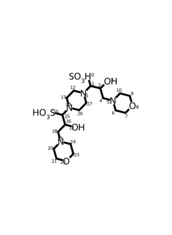 O=S(=O)(O)C(C(O)CN1CCOCC1)N1CCN(C(C(O)CN2CCOCC2)S(=O)(=O)O)CC1